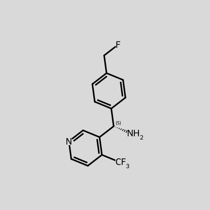 N[C@@H](c1ccc(CF)cc1)c1cnccc1C(F)(F)F